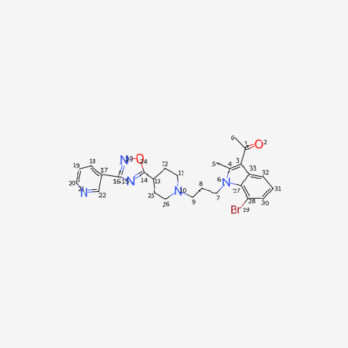 CC(=O)c1c(C)n(CCCN2CCC(c3nc(-c4cccnc4)no3)CC2)c2c(Br)cccc12